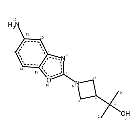 CC(C)(O)C1CN(c2nc3cc(N)ccc3o2)C1